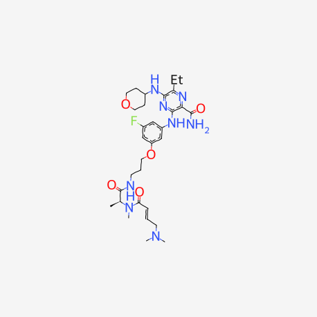 CCc1nc(C(N)=O)c(Nc2cc(F)cc(OCCCNC(=O)[C@H](C)N(C)C(=O)/C=C/CN(C)C)c2)nc1NC1CCOCC1